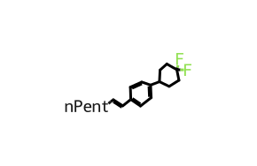 CCCCCC=Cc1ccc(C2CCC(F)(F)CC2)cc1